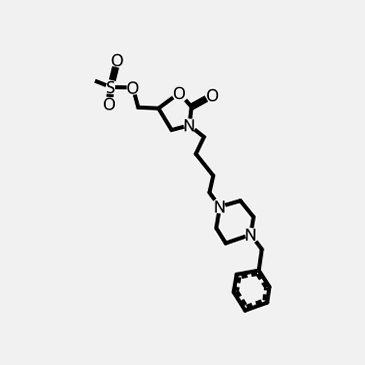 CS(=O)(=O)OCC1CN(CCCCN2CCN(Cc3ccccc3)CC2)C(=O)O1